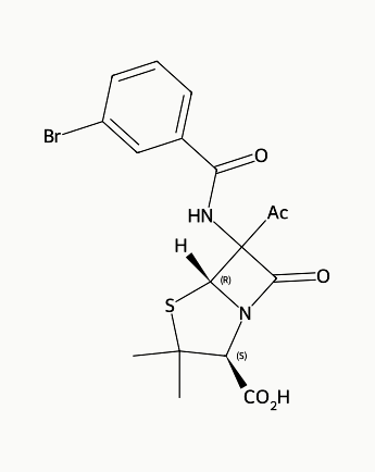 CC(=O)C1(NC(=O)c2cccc(Br)c2)C(=O)N2[C@@H](C(=O)O)C(C)(C)S[C@@H]21